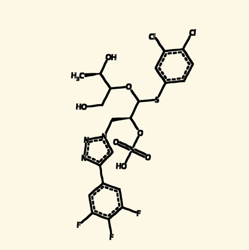 C[C@@H](O)C(CO)OC(Sc1ccc(Cl)c(Cl)c1)[C@H](Cn1cc(-c2cc(F)c(F)c(F)c2)nn1)OS(=O)(=O)O